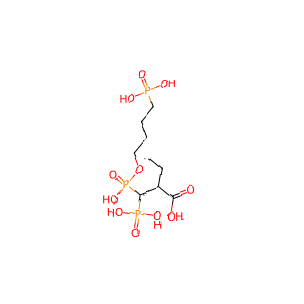 [CH2]CC([C](P(=O)(O)O)P(=O)(O)OCCCCP(=O)(O)O)C(=O)O